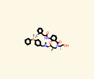 C[C@@H]1CN([C@@H](C)CO)C(=O)c2cccc(NC(=O)Cc3ccccc3C(F)(F)F)c2O[C@@H]1CN(C)Cc1ccc(Sc2ccccc2)cc1